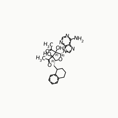 CC(=O)[C@@]1(O)[C@@H](CC2CCCc3ccccc32)O[C@@H](n2cnc3c(N)ncnc32)[C@@]1(O)C(C)=O